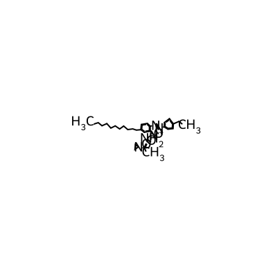 CC(=O)N1CC1.CCCCCCCCCCCCc1ccc(N=Nc2ccc(CC)cc2)c([N+](=O)[O-])c1N